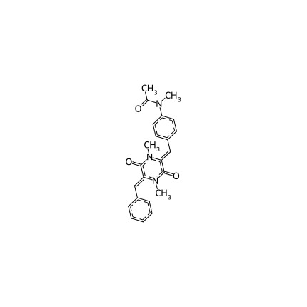 CC(=O)N(C)c1ccc(/C=c2/c(=O)n(C)/c(=C\c3ccccc3)c(=O)n2C)cc1